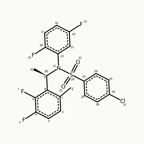 [CH2]c1ccc(F)c(F)c1[C@@H](C)N(c1cc(F)ccc1F)S(=O)(=O)c1ccc(Cl)cc1